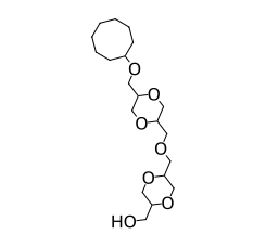 OCC1COC(COCC2COC(COC3CCCCCCC3)CO2)CO1